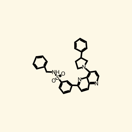 O=S(=O)(NCc1ccccc1)c1cccc(-c2ccc3nccc(N4CCC(c5ccccc5)C4)c3n2)c1